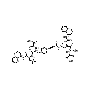 CN[C@@H](C)C(=O)N[C@@H](Cc1ccc(C#CC(=O)N[C@H]2C[C@@H](C(=O)N[C@@H]3CCCc4ccccc43)N(C(=O)[C@@H](NC(=O)[C@H](C)NC)C(C)(C)C)C2)cc1)C(=O)N1C[Si](C)(C)C[C@H]1C(=O)N[C@@H]1CCCc2ccccc21